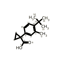 Cc1cc(C2(C(=O)O)CC2)ccc1C(C)(C)C